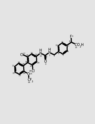 O=C(NCc1ccc(C(F)C(=O)O)cc1)Nc1cc(Cl)c(-c2ccccc2OC(F)(F)F)c(Cl)c1